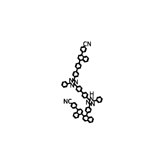 N#Cc1ccc(-c2ccc(-c3ccc(-c4ccc(-c5nc(-c6ccccc6)nc(-c6ccc(-c7ccc(C8=NC(c9ccc(-c%10c(-c%11ccc(-c%12ccc(C#N)cc%12)c%12ccccc%11%12)ccc%11ccccc%10%11)cc9)=NC(c9ccccc9)N8)cc7)cc6)n5)cc4)cc3)c3ccccc23)cc1